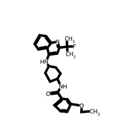 CCOc1cccc(C(=O)NC2CCC(Nc3cc(C(C)(C)F)nc4ccccc34)CC2)c1